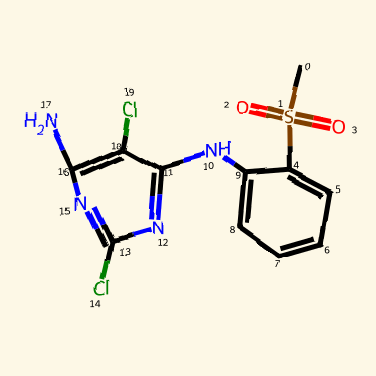 CS(=O)(=O)c1ccccc1Nc1nc(Cl)nc(N)c1Cl